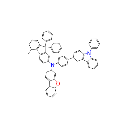 CC1CC=CC2=C1c1ccc(N(c3ccc(C4C=Cc5c(c6ccccc6n5-c5ccccc5)C4)cc3)C3C=C4OC5C=CC=CC5C4=CC3)cc1C2(c1ccccc1)c1ccccc1